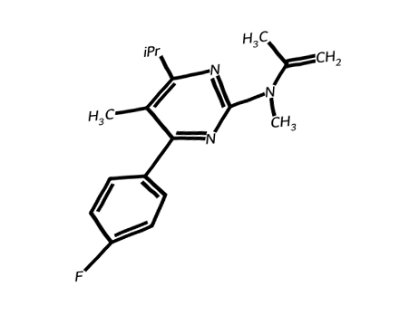 C=C(C)N(C)c1nc(-c2ccc(F)cc2)c(C)c(C(C)C)n1